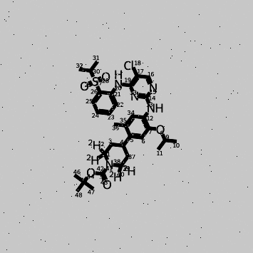 [2H]C1([2H])CC(c2cc(OC(C)C)c(Nc3ncc(Cl)c(Nc4ccccc4S(=O)(=O)C(C)C)n3)cc2C)CC([2H])([2H])N1C(=O)OC(C)(C)C